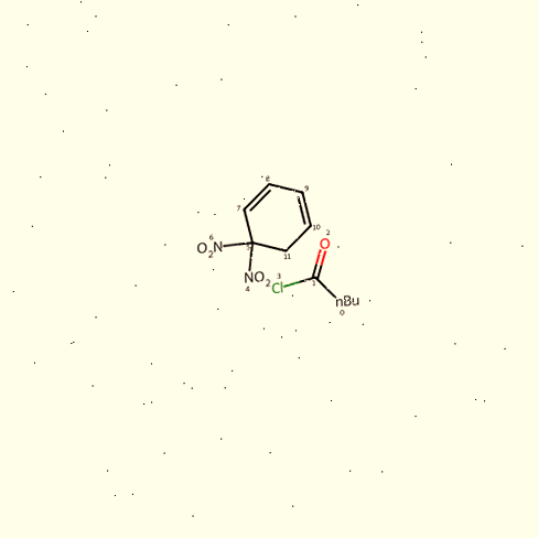 CCCCC(=O)Cl.O=[N+]([O-])C1([N+](=O)[O-])C=CC=CC1